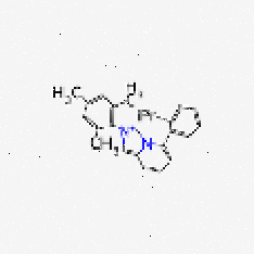 Cc1cc(C)c(-[n+]2cc3cccc(-c4ccccc4C(C)C)n3c2)c(C)c1